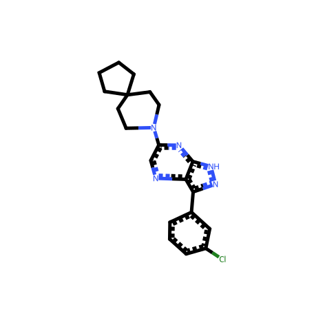 Clc1cccc(-c2n[nH]c3nc(N4CCC5(CCCC5)CC4)cnc23)c1